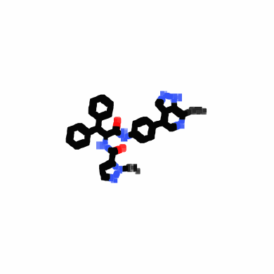 COc1ncc(-c2ccc(NC(=O)[C@@H](NC(=O)c3ccnn3C)C(c3ccccc3)c3ccccc3)cc2)c2cn[nH]c12